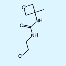 CC1(NC(=O)NCCCl)COC1